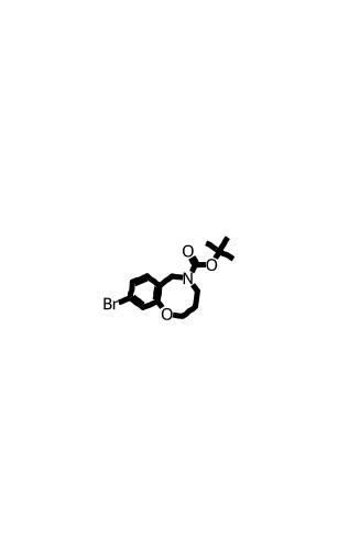 CC(C)(C)OC(=O)N1CCCOc2cc(Br)ccc2C1